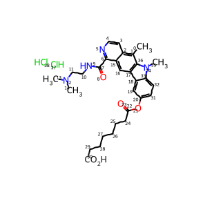 Cc1c2ccnc(C(=O)NCCN(C)C)c2cc2c3cc(OC(=O)CCCCCCC(=O)O)ccc3n(C)c12.Cl.Cl